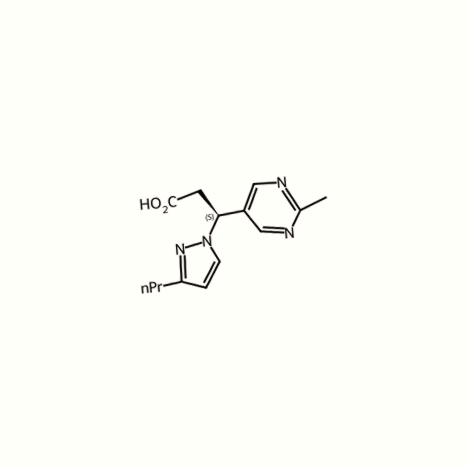 CCCc1ccn([C@@H](CC(=O)O)c2cnc(C)nc2)n1